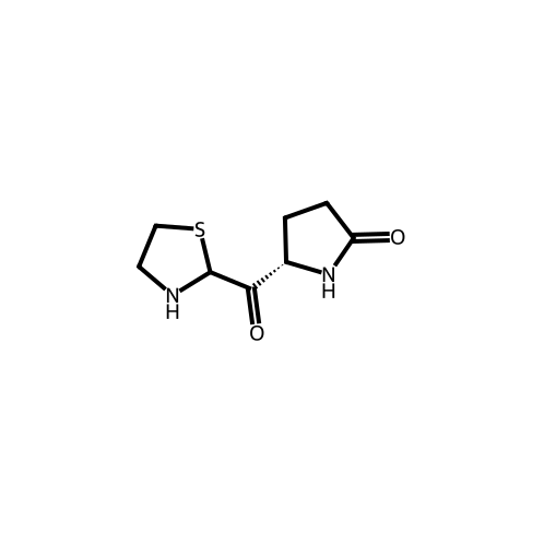 O=C1CC[C@@H](C(=O)C2NCCS2)N1